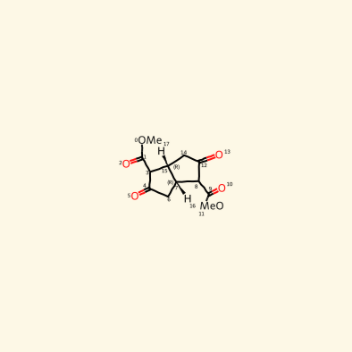 COC(=O)C1C(=O)C[C@H]2C(C(=O)OC)C(=O)C[C@@H]12